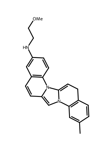 COCCNc1ccc2c(c1)C=CC1=CN3C(=CCc4ccc(C)cc43)N12